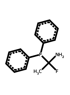 CC(N)(F)P(c1ccccc1)c1ccccc1